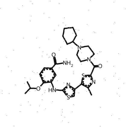 Cc1nc(C(=O)N2CCN(C3CCCCC3)CC2)sc1-c1csc(Nc2cc(C(N)=O)ccc2OC(C)C)n1